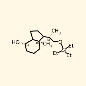 CC[Si](CC)(CC)OC[C@@H](C)C1CCC2[C@@H](O)CCC[C@]12C